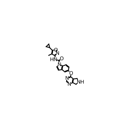 Cc1c(NC(=O)n2ccc3cc(Oc4ncnc5c4CNC5)ccc32)noc1C1CC1